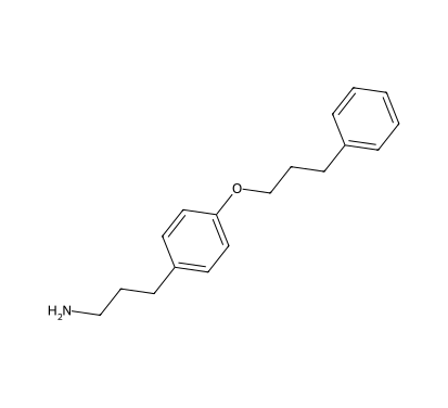 NCCCc1ccc(OCCCc2ccccc2)cc1